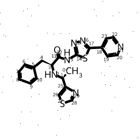 C[C@H](N[C@@H](Cc1ccccc1)C(=O)Nc1nnc(-c2ccncc2)s1)c1cscn1